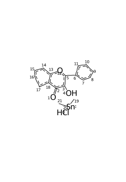 Cl.O=c1c(O)c(-c2ccccc2)oc2ccccc12.[CH3][Sn][CH3]